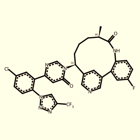 C[C@@H]1CCC[C@H](n2cnc(-c3cc(Cl)ccc3-n3cc(C(F)(F)F)nn3)cc2=O)c2cncc(c2)-c2cc(F)ccc2NC1=O